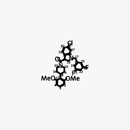 COc1cccc(OC)c1C1CCN(C(=O)C2CN(Cc3cc(F)cc(F)c3)c3cc(Cl)ccc32)CC1